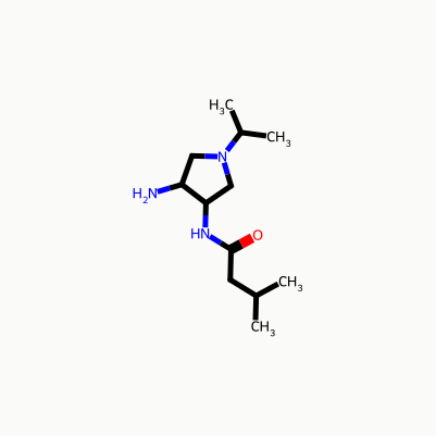 CC(C)CC(=O)NC1CN(C(C)C)CC1N